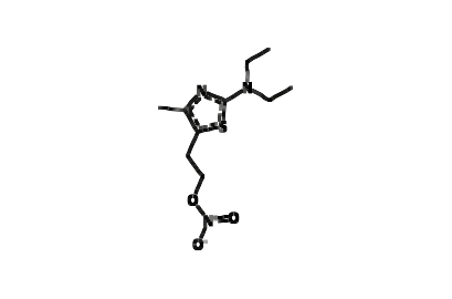 CCN(CC)c1nc(C)c(CCO[N+](=O)[O-])s1